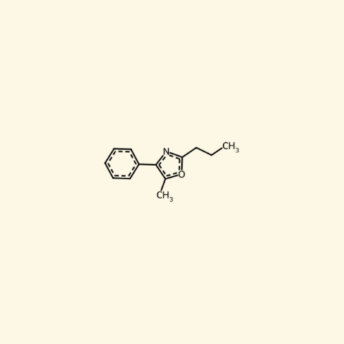 CCCc1nc(-c2ccccc2)c(C)o1